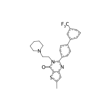 Cc1cc2nc(-c3ccc(-c4cccc(C(F)(F)F)c4)cc3)n(CCN3CCCCC3)c(=O)c2s1